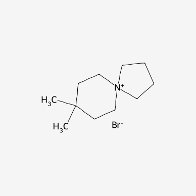 CC1(C)CC[N+]2(CCCC2)CC1.[Br-]